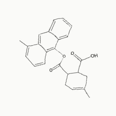 CC1=CCC(C(=O)Oc2c3ccccc3cc3c(C)cccc23)C(C(=O)O)C1